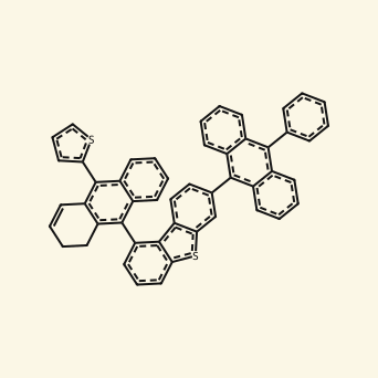 C1=Cc2c(c(-c3cccc4sc5cc(-c6c7ccccc7c(-c7ccccc7)c7ccccc67)ccc5c34)c3ccccc3c2-c2cccs2)CC1